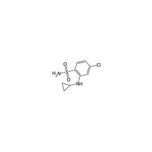 NS(=O)(=O)c1ccc(Cl)cc1NC1CC1